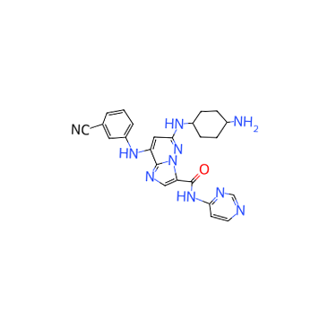 N#Cc1cccc(Nc2cc(NC3CCC(N)CC3)nn3c(C(=O)Nc4ccncn4)cnc23)c1